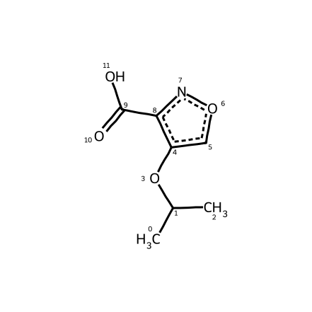 CC(C)Oc1conc1C(=O)O